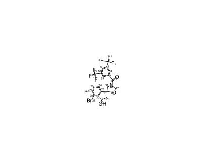 O=C(c1cc(C(F)(F)F)cc(C(F)(F)F)c1)N1CO[C@@](CCO)(c2ccc(F)c(Br)c2)C1